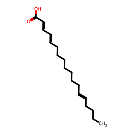 CCCCC=CCCCCCCCC=CC=CC(=O)O